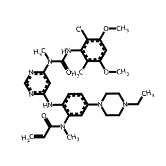 C=CC(=O)N(C)c1cc(N2CCN(CC)CC2)ccc1Nc1cc(N(C)C(=O)Nc2c(C)c(OC)cc(OC)c2Cl)ncn1